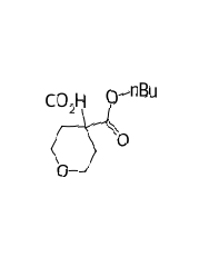 CCCCOC(=O)C1(C(=O)O)CCOCC1